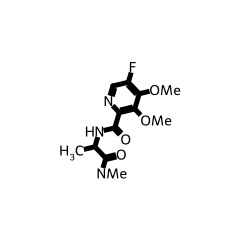 CNC(=O)C(C)NC(=O)c1ncc(F)c(OC)c1OC